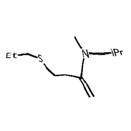 C=C(CSCC)N(C)C(C)C